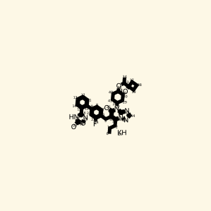 CCCc1c(Cc2ccc(-c3ccccc3-c3noc(=O)[nH]3)cc2F)c(=O)n(C2CCC(OC(C)C3(O)CCC3)CC2)c2ncnn12.[KH]